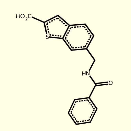 O=C(NCc1ccc2cc(C(=O)O)sc2c1)c1ccccc1